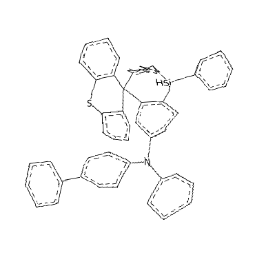 c1ccc(-c2ccc(N(c3ccccc3)c3ccc4c(c3)C3(c5ccccc5Sc5ccccc53)c3ccccc3[SiH]4c3ccccc3)cc2)cc1